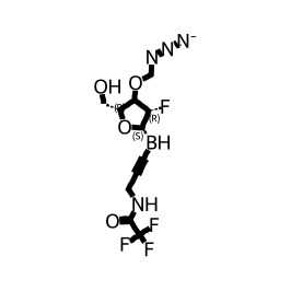 [N-]=[N+]=NCOC1[C@@H](CO)O[C@@H](BC#CCNC(=O)C(F)(F)F)[C@H]1F